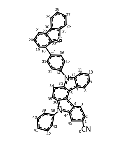 N#Cc1ccc2c3c4c5ccccc5n(-c5ccc(-c6cccc7c6sc6ccccc67)cc5)c4ccc3n(-c3ccccc3)c2c1